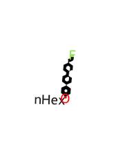 CCCCCCOc1ccc([C@H]2CC[C@H]([C@H]3CC[C@H](C=CF)CC3)CC2)cc1